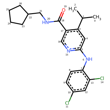 CC(C)c1cc(Nc2ccc(Cl)cc2Cl)ncc1C(=O)NCC1CCCC1